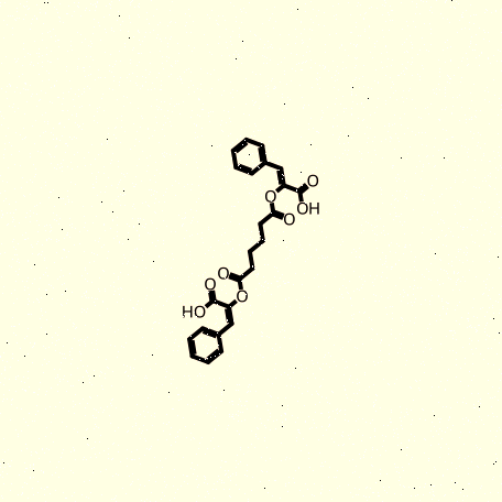 O=C(CCCCC(=O)OC(=Cc1ccccc1)C(=O)O)OC(=Cc1ccccc1)C(=O)O